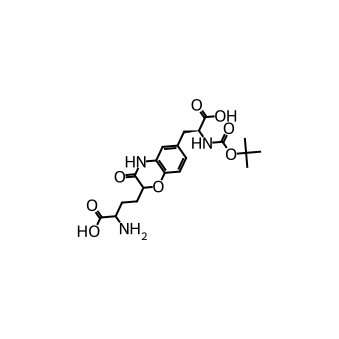 CC(C)(C)OC(=O)N[C@@H](Cc1ccc2c(c1)NC(=O)C(CCC(N)C(=O)O)O2)C(=O)O